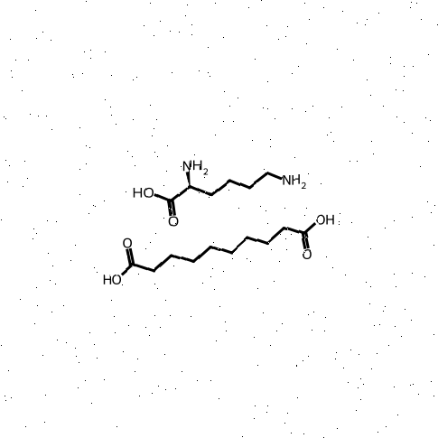 NCCCC[C@H](N)C(=O)O.O=C(O)CCCCCCCCC(=O)O